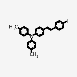 Cc1ccc(N(c2ccc(C)cc2)c2ccc(C=Cc3ccc(I)cc3)cc2)cc1